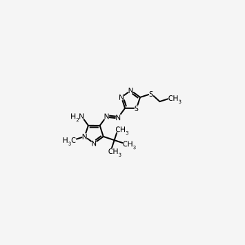 CCSc1nnc(/N=N/c2c(C(C)(C)C)nn(C)c2N)s1